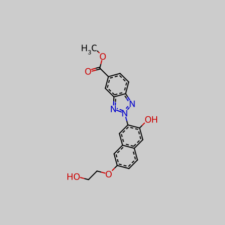 COC(=O)c1ccc2nn(-c3cc4cc(OCCO)ccc4cc3O)nc2c1